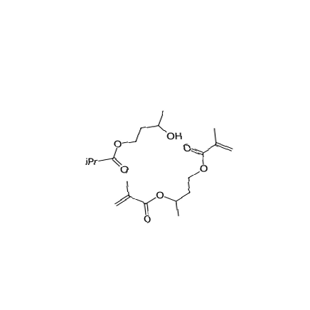 C=C(C)C(=O)OCCC(C)OC(=O)C(=C)C.CC(O)CCOC(=O)C(C)C